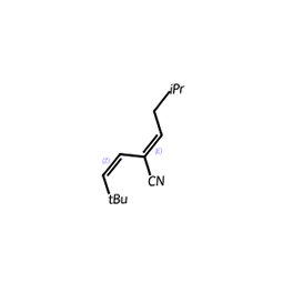 CC(C)C/C=C(C#N)\C=C/C(C)(C)C